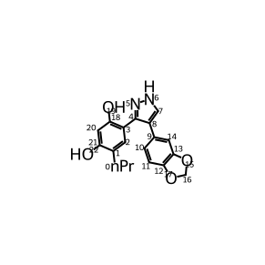 CCCc1cc(-c2n[nH]cc2-c2ccc3c(c2)OCO3)c(O)cc1O